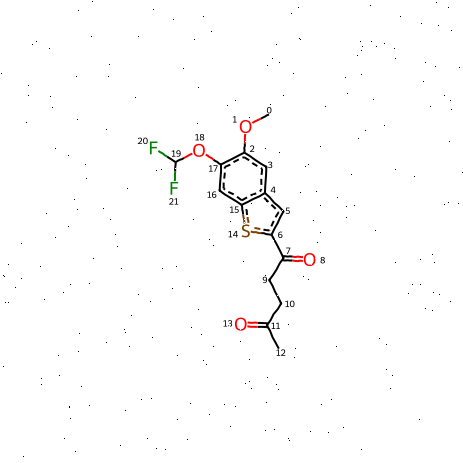 COc1cc2cc(C(=O)CCC(C)=O)sc2cc1OC(F)F